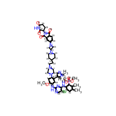 COc1cc(N2CCN(CCC3CCN(C4CN(c5ccc6c(c5)C(=O)N(C5CCC(=O)NC5=O)C6=O)C4)CC3)CC2)c(-c2cnn(C)c2)cc1Nc1ncc(Br)c(Nc2ccc(C)c(C)c2P(=O)(OC)OC)n1